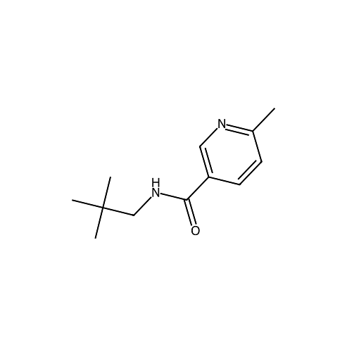 Cc1ccc(C(=O)NCC(C)(C)C)cn1